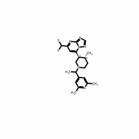 Cc1cc(C(C)N2CC[C@@H](C)[C@H](c3cc(C(F)F)nc4ncnn34)C2)cc(C)n1